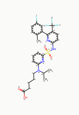 Cc1ccc(F)cc1-c1nc(NS(=O)(=O)c2cccc(N(CCCCC(=O)O)C(C)C)n2)ccc1C(F)(F)F